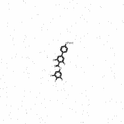 CCCCCc1ccc(-c2cc(F)c(C(=S)Oc3cc(F)c(F)c(F)c3)c(F)c2)cc1